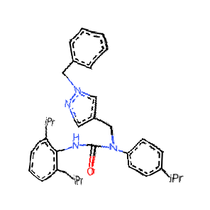 CC(C)c1ccc(N(Cc2cnn(Cc3ccccc3)c2)C(=O)Nc2c(C(C)C)cccc2C(C)C)cc1